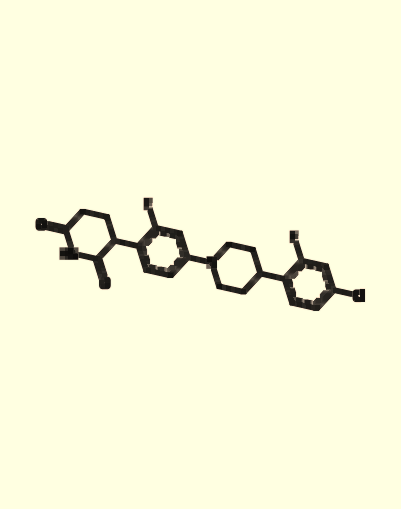 O=C1CCC(c2ccc(N3CCC(c4ccc(Cl)cc4F)CC3)cc2F)C(=O)N1